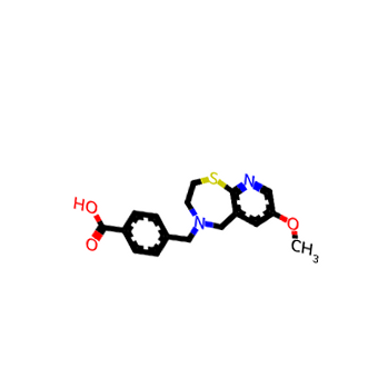 COc1cnc2c(c1)CN(Cc1ccc(C(=O)O)cc1)CCS2